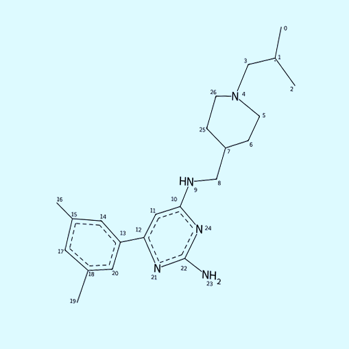 C[C](C)CN1CCC(CNc2cc(-c3cc(C)cc(C)c3)nc(N)n2)CC1